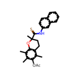 CC(=O)Oc1c(C)c(C)c2c(c1C)CCC(C)(C(=S)Nc1ccc3ccccc3c1)O2